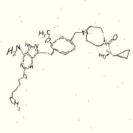 CCCCOc1nc(N)c2[nH]nc(Cc3ccc(CN4CCN(C(=O)[C@H](O)C5CC5)CC4)cc3OC)c2n1